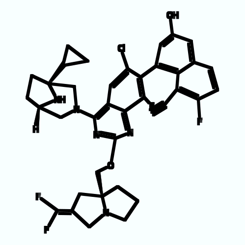 C#Cc1c(F)ccc2cc(O)cc(-c3c(Cl)cc4c(N5C[C@@H]6CC[C@](C7CC7)(C5)N6)nc(OC[C@@]56CCCN5CC(=C(F)F)C6)nc4c3F)c12